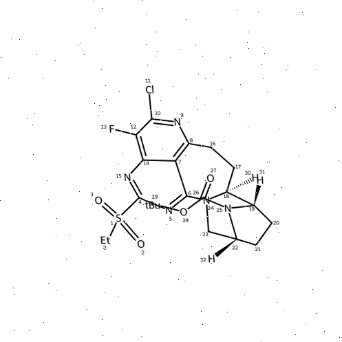 CCS(=O)(=O)c1nc2c3c(nc(Cl)c(F)c3n1)CC[C@H]1[C@@H]3CC[C@H](CN21)N3C(=O)OC(C)(C)C